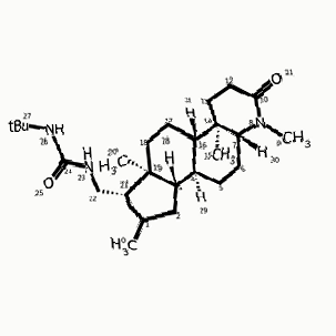 CC1C[C@H]2[C@@H]3CC[C@H]4N(C)C(=O)CC[C@]4(C)[C@H]3CC[C@]2(C)[C@H]1CNC(=O)NC(C)(C)C